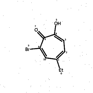 CCc1ccc(O)c(=O)c(Br)c1